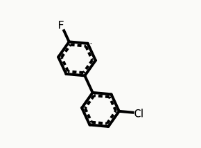 Fc1[c]cc(-c2cccc(Cl)c2)cc1